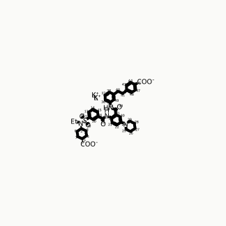 CCN([C@H]1CC[C@H](C(=O)[O-])CC1)S(=O)(=O)c1cccc(C(=O)Nc2ccc(N3CCCCC3)cc2C(=O)Nc2cccc(CCc3ccc(C(=O)[O-])cc3)c2)c1.[K+].[K+]